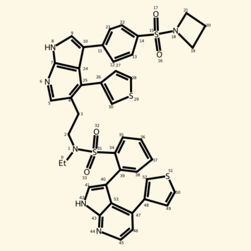 CCN(CCc1cnc2[nH]cc(-c3ccc(S(=O)(=O)N4CCC4)cc3)c2c1-c1ccsc1)S(=O)(=O)c1ccccc1-c1c[nH]c2nccc(-c3ccsc3)c12